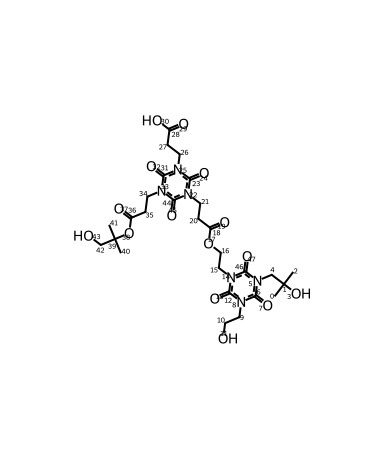 CC(C)(O)Cn1c(=O)n(CCO)c(=O)n(CCOC(=O)CCn2c(=O)n(CCC(=O)O)c(=O)n(CCC(=O)OC(C)(C)CO)c2=O)c1=O